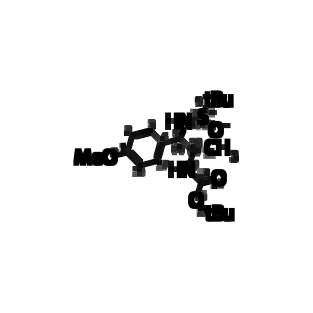 COc1ccc([C@@H](N[S@+]([O-])C(C)(C)C)[C@H](C)NC(=O)OC(C)(C)C)cc1